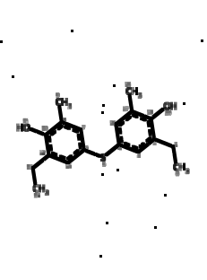 CCc1cc(Sc2cc(C)c(O)c(CC)c2)cc(C)c1O